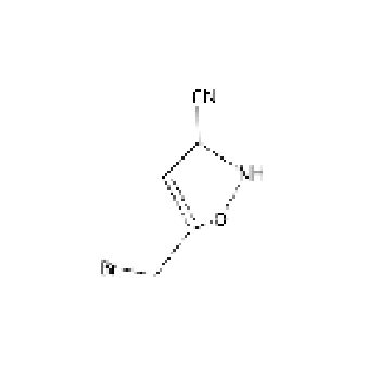 N#CC1C=C(CBr)ON1